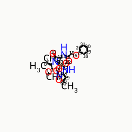 COC(=O)C(=C(C)C)N1C(=O)C(NC(=O)COc2ccccc2)C1S(=O)(=O)Nc1cc(C)on1